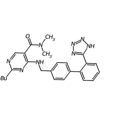 CCCCc1ncc(C(=O)N(C)C)c(NCc2ccc(-c3ccccc3-c3nnn[nH]3)cc2)n1